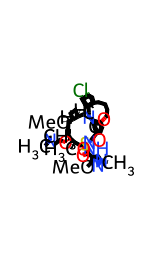 COc1nn(C)cc1C(=O)NS1(=O)=NC(=O)c2ccc3c(c2)N(Cc2ccc(Cl)cc2CCCCO3)C[C@@H]2CC[C@H]2[C@@H](OC)/C=C/[C@H](OCCN(C)C)[C@H](C)C1